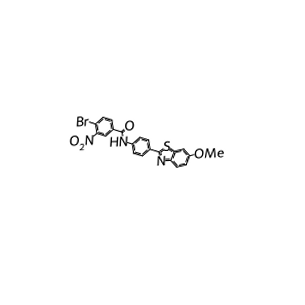 COc1ccc2nc(-c3ccc(NC(=O)c4ccc(Br)c([N+](=O)[O-])c4)cc3)sc2c1